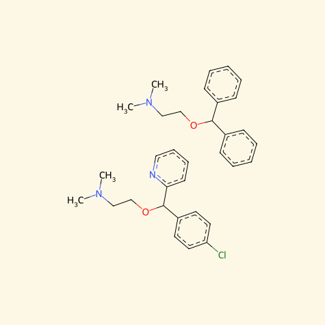 CN(C)CCOC(c1ccc(Cl)cc1)c1ccccn1.CN(C)CCOC(c1ccccc1)c1ccccc1